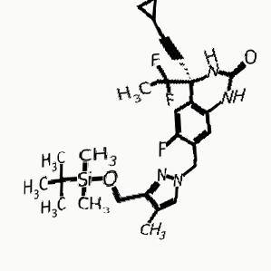 Cc1cn(Cc2cc3c(cc2F)[C@@](C#CC2CC2)(C(C)(F)F)NC(=O)N3)nc1CO[Si](C)(C)C(C)(C)C